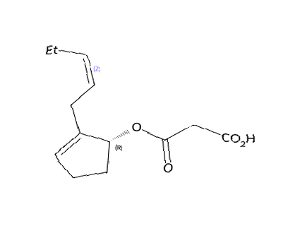 CC/C=C\CC1=CCC[C@H]1OC(=O)CC(=O)O